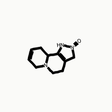 O=[N+]1CC2=C(N1)C1CC=CCN1CC2